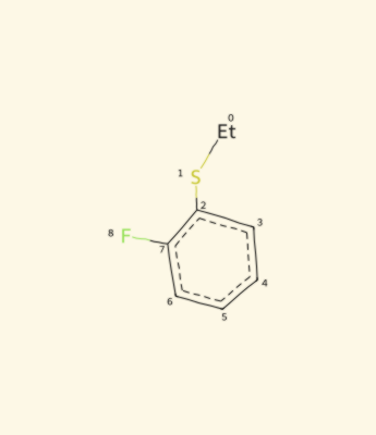 CCSc1ccccc1F